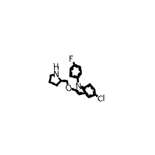 Fc1ccc(-n2c(OCC3CCCN3)cc3cc(Cl)ccc32)cc1